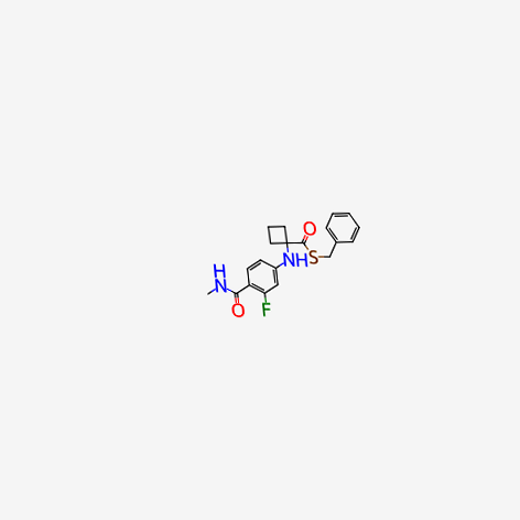 CNC(=O)c1ccc(NC2(C(=O)SCc3ccccc3)CCC2)cc1F